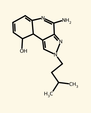 CC(C)CCn1cc2c(n1)C(N)=NC1=CC=CC(O)C12